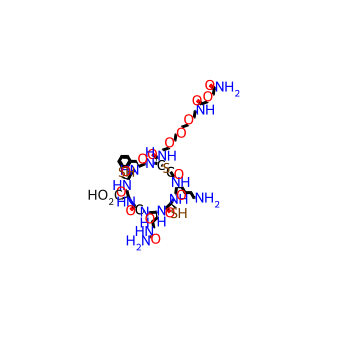 NCCCC[C@@H]1NC(=O)CSC[C@@H](C(=O)NCCOCCOCCOCCNC(=O)COCC(N)=O)NC(=O)[C@H](Cc2ccccc2)NC(=O)[C@H](CS)NC(=O)[C@H](CC(=O)O)NC(=O)CNC(=O)[C@H](CCCNC(N)=O)NC(=O)[C@H](CS)NC1=O